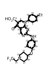 CCc1ccc(-n2cc(C(=O)O)c(=O)c3cnc(Nc4ccc(OC5CCN(CC(F)(F)F)CC5)cc4)nc32)cc1